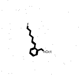 CCCCCCCCCc1ccccc1/C=C/CCCCF